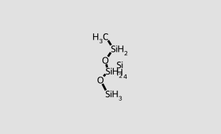 C[SiH2]O[SiH2]O[SiH3].[SiH4]